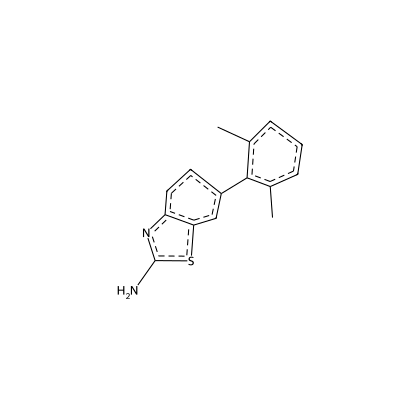 Cc1cccc(C)c1-c1ccc2nc(N)sc2c1